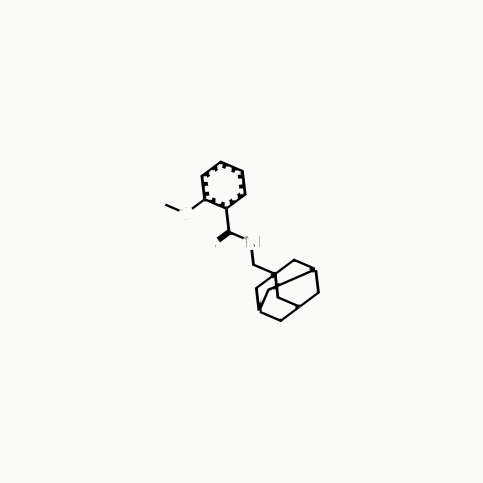 CSc1ccccc1C(=O)NCC12CC3CC(CC(C3)C1)C2